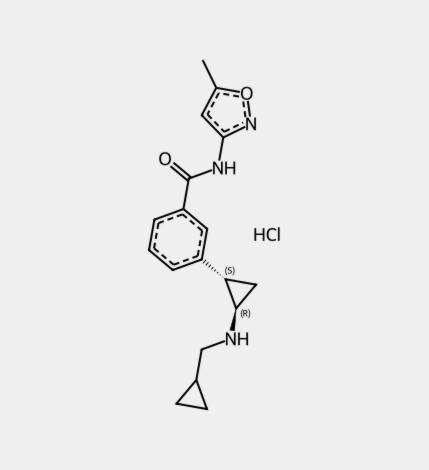 Cc1cc(NC(=O)c2cccc([C@@H]3C[C@H]3NCC3CC3)c2)no1.Cl